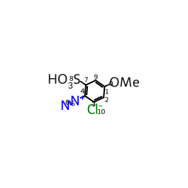 COc1ccc([N+]#N)c(S(=O)(=O)O)c1.[Cl-]